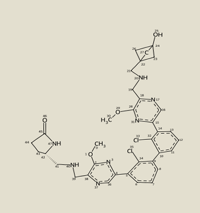 COc1nc(-c2cccc(-c3cccc(-c4cnc(CNCC56CC(O)(C5)C6)c(OC)n4)c3Cl)c2Cl)cnc1CNC[C@@H]1CCC(=O)N1